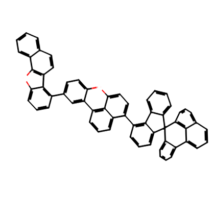 c1ccc2c(c1)-c1c(-c3ccc4c5c(cccc35)-c3cc(-c5cccc6oc7c8ccccc8ccc7c56)ccc3O4)cccc1C21c2ccccc2-c2cccc3cccc1c23